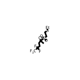 CCSCCS(=O)(=O)C(C)(C#N)CCC(F)(F)C(F)(F)F